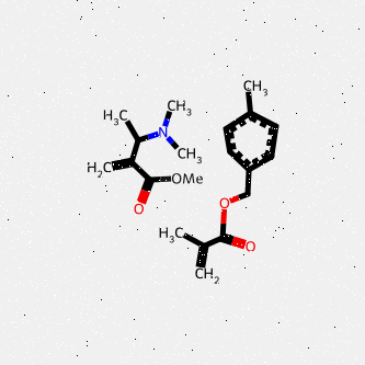 C=C(C(=O)OC)C(C)N(C)C.C=C(C)C(=O)OCc1ccc(C)cc1